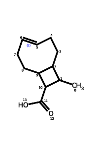 CC1C2CC/C=C/CCC2C1C(=O)O